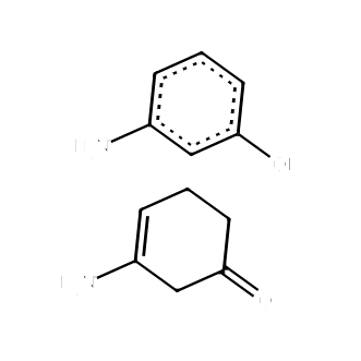 NC1=CCCC(=O)C1.Nc1cccc(O)c1